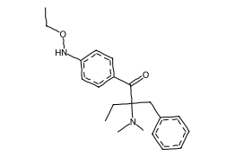 CCONc1ccc(C(=O)C(CC)(Cc2ccccc2)N(C)C)cc1